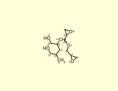 C(OCC1CO1)C1CO1.CC(CO)CC(C)CO